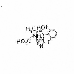 C[C@@H](NCC(=O)O)[C@@H](O)C(c1c(F)cccc1F)n1cncn1